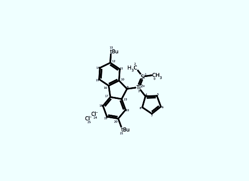 C[Si](C)=[Ti+2]([C]1=CC=CC1)[CH]1c2cc(C(C)(C)C)ccc2-c2ccc(C(C)(C)C)cc21.[Cl-].[Cl-]